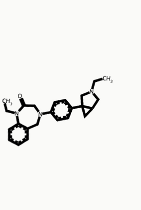 CCN1CC2CC2(c2ccc(N3CC(=O)N(CC)c4ccccc4C3)cc2)C1